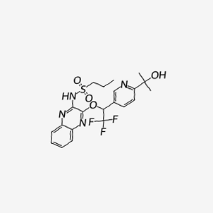 CCCS(=O)(=O)Nc1nc2ccccc2nc1OC(c1ccc(C(C)(C)O)nc1)C(F)(F)F